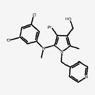 Cc1c(CO)c(C(C)C)c(N(C)c2cc(Cl)cc(Cl)c2)n1Cc1ccncc1